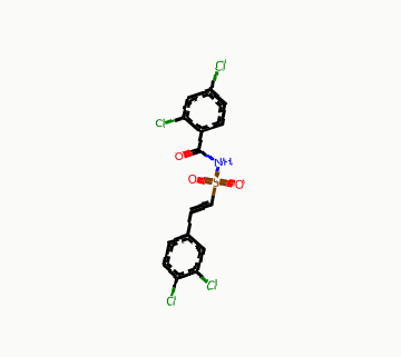 O=C(NS(=O)(=O)C=Cc1ccc(Cl)c(Cl)c1)c1ccc(Cl)cc1Cl